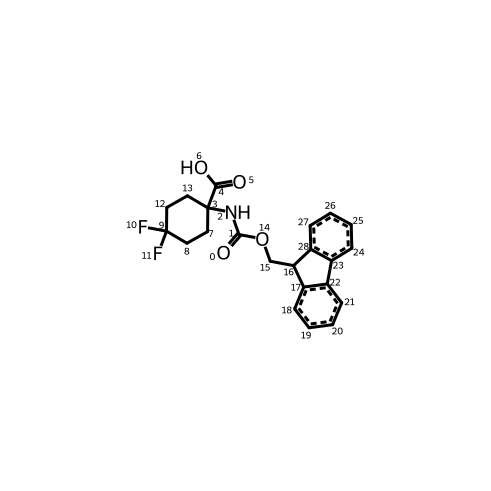 O=C(NC1(C(=O)O)CCC(F)(F)CC1)OCC1c2ccccc2-c2ccccc21